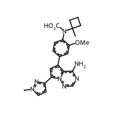 COc1cc(-c2cc(-c3ccn(C)n3)n3ncnc(N)c23)ccc1N(C(=O)O)C1(C)CCC1